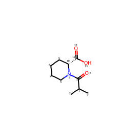 CC(C)C(=O)N1CCCC[C@@H]1C(=O)O